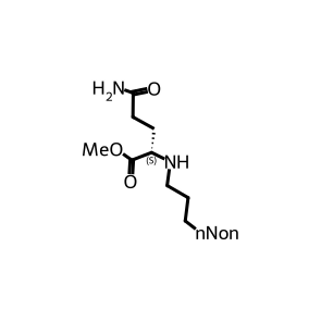 CCCCCCCCCCCCN[C@@H](CCC(N)=O)C(=O)OC